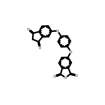 O=C1CC(=O)c2cc(Oc3ccc(Oc4ccc5c(c4)C(=O)OC5=O)cc3)ccc21